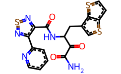 NC(=O)C(=O)C(Cc1csc2ccsc12)NC(=O)c1nsnc1-c1ccccn1